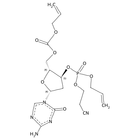 C=CCOC(=O)OC[C@H]1O[C@@H](n2cnc(N)nc2=O)C[C@@H]1OP(=O)(OCC=C)OCCC#N